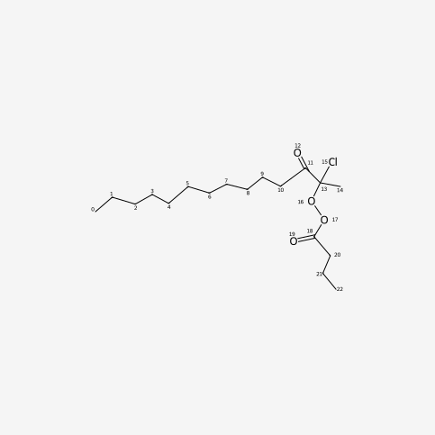 CCCCCCCCCCCC(=O)C(C)(Cl)OOC(=O)CCC